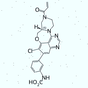 C=CC(=O)N1CCN2c3ncnc4cc(-c5cccc(NC(=O)O)c5)c(Cl)c(c34)OC[C@@H]2C1